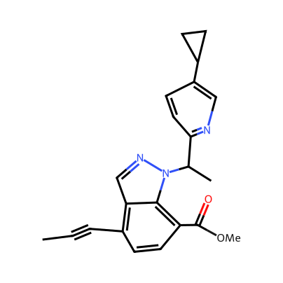 CC#Cc1ccc(C(=O)OC)c2c1cnn2C(C)c1ccc(C2CC2)cn1